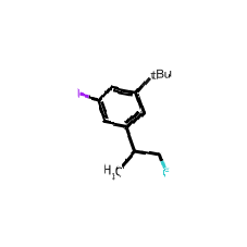 C[C](CF)c1cc(I)cc(C(C)(C)C)c1